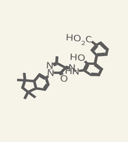 CC1=NN(C2=CC3C(C=C2)C(C)(C)CC3(C)C)C(=O)/C1=N\Nc1cccc(-c2cccc(C(=O)O)c2)c1O